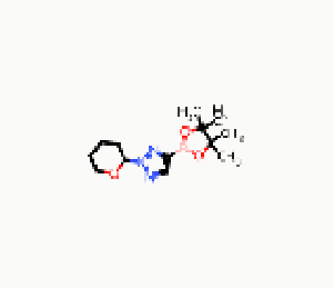 CC1(C)OB(c2cnn(C3CCCCO3)n2)OC1(C)C